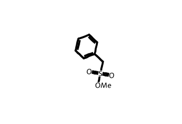 [CH2]OS(=O)(=O)Cc1ccccc1